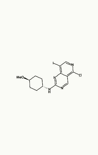 CO[C@H]1CC[C@H](Nc2ncc3c(Cl)ncc(I)c3n2)CC1